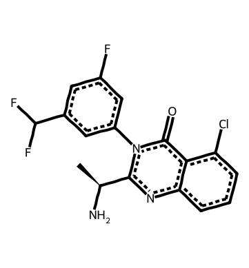 C[C@H](N)c1nc2cccc(Cl)c2c(=O)n1-c1cc(F)cc(C(F)F)c1